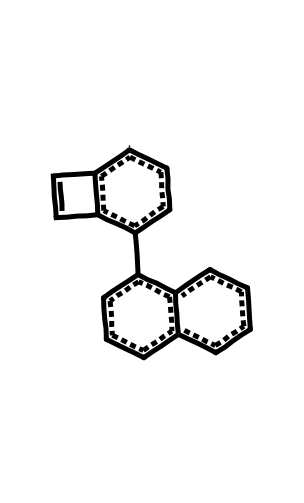 [c]1ccc(-c2cccc3ccccc23)c2c1C=C2